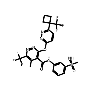 Cc1c(C(F)(F)F)nnc(Oc2ccc(C3(C(F)(F)F)CCC3)nn2)c1C(=O)Nc1cccc(S(C)(=N)=O)c1